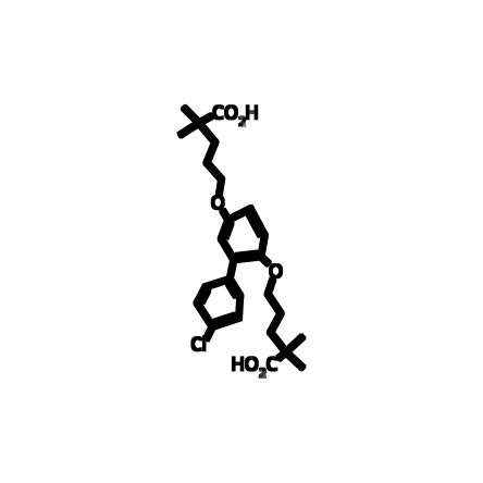 CC(C)(CCCOc1ccc(OCCCC(C)(C)C(=O)O)c(-c2ccc(Cl)cc2)c1)C(=O)O